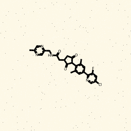 Cc1cnc(CNC(=O)CC2CC(=O)C(c3c(C)cc(-c4ncc(Cl)cc4F)cc3C)C2=O)cn1